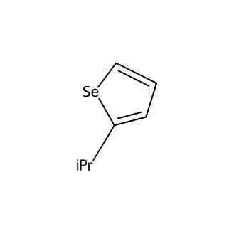 CC(C)c1ccc[se]1